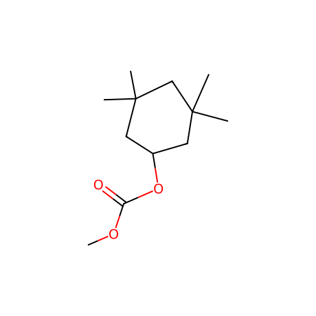 COC(=O)OC1CC(C)(C)CC(C)(C)C1